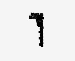 COc1c2nc3ccc(OC/C=C(\C)CC/C=C(\C)CCC=C(C)C)cc3sc-2c(C)c(=O)c1OC